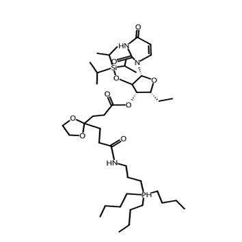 CCCC[PH](CCCC)(CCCC)CCCNC(=O)CCC1(CCC(=O)O[C@@H]2C(O[Si](C(C)C)(C(C)C)C(C)C)[C@H](n3ccc(=O)[nH]c3=O)O[C@@H]2CC)OCCO1